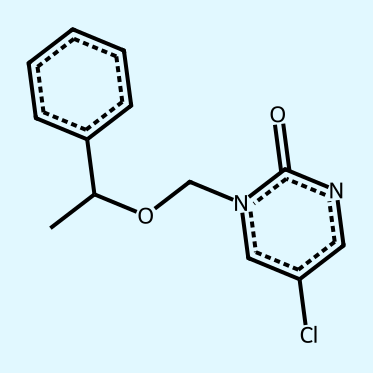 CC(OCn1cc(Cl)cnc1=O)c1ccccc1